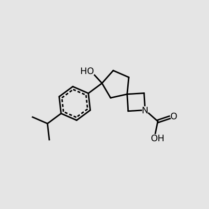 CC(C)c1ccc(C2(O)CCC3(CN(C(=O)O)C3)C2)cc1